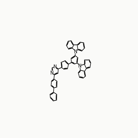 c1ccc(-c2ccc(-c3cc(-c4ccc(-c5cc(-n6c7ccccc7c7ccccc76)cc(-n6c7ccccc7c7ccccc76)c5)cc4)ncn3)cc2)cc1